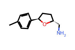 Cc1ccc([C@H]2CC[C@H](CN)O2)cc1